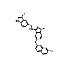 Cn1nc(NCc2cnc3[nH]cc(Cl)c3c2)c2cc(Cc3ccc4ncc(Cl)cc4c3)ccc21